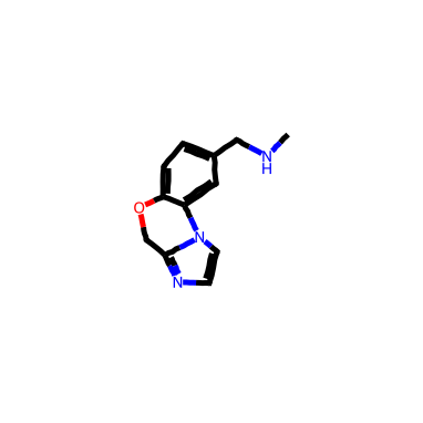 CNCc1ccc2c(c1)-n1ccnc1CO2